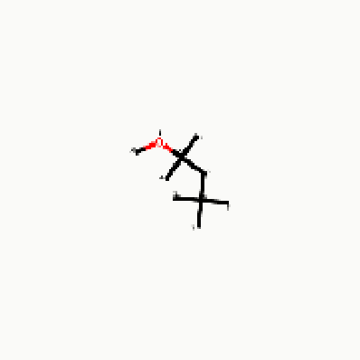 [CH2]OC(C)(C)CC(C)(C)C